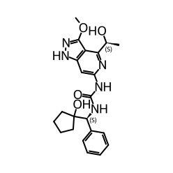 COc1n[nH]c2cc(NC(=O)N[C@@H](c3ccccc3)C3(O)CCCC3)nc([C@H](C)O)c12